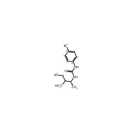 CC(C)CC(C(=O)O)[C@H](C)NC(=O)Nc1ccc(Br)cc1